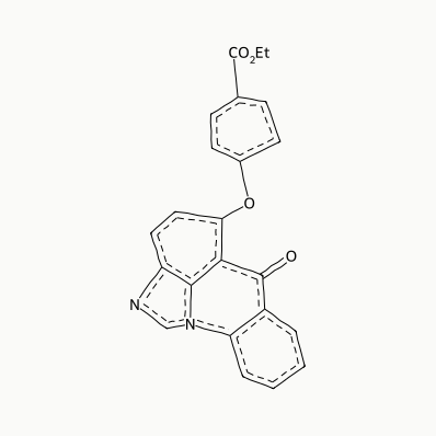 CCOC(=O)c1ccc(Oc2ccc3ncn4c5ccccc5c(=O)c2c34)cc1